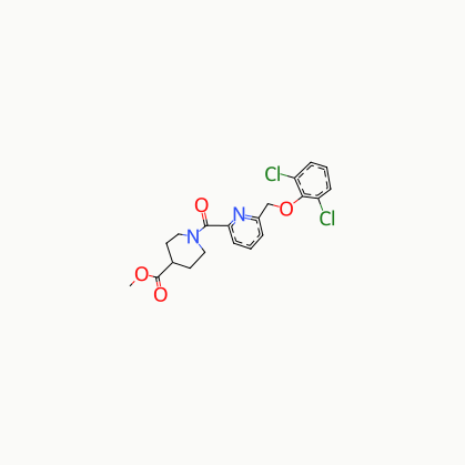 COC(=O)C1CCN(C(=O)c2cccc(COc3c(Cl)cccc3Cl)n2)CC1